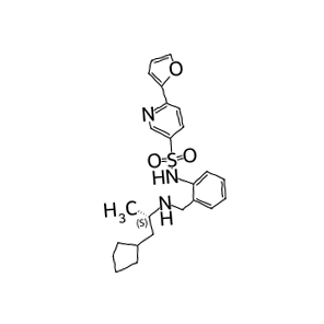 C[C@@H](CC1CCCC1)NCc1ccccc1NS(=O)(=O)c1ccc(-c2ccco2)nc1